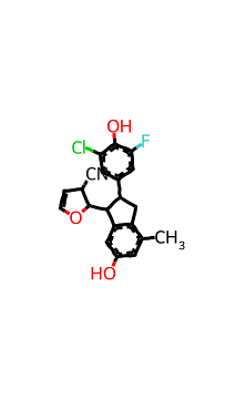 Cc1cc(O)cc2c1CC(c1cc(F)c(O)c(Cl)c1)C2C1OC=CC1C#N